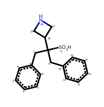 O=S(=O)(O)C(Cc1ccccc1)(Cc1ccccc1)C1CNC1